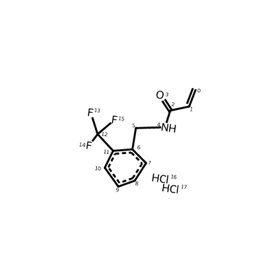 C=CC(=O)NCc1ccccc1C(F)(F)F.Cl.Cl